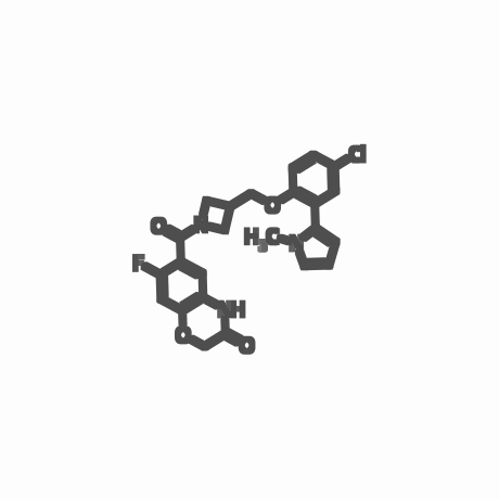 Cn1cccc1-c1cc(Cl)ccc1OCC1CN(C(=O)c2cc3c(cc2F)OCC(=O)N3)C1